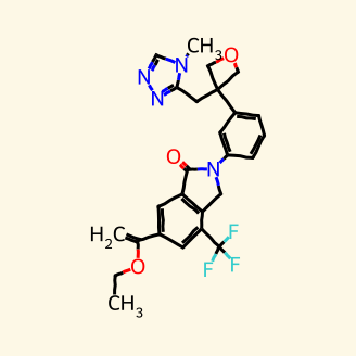 C=C(OCC)c1cc2c(c(C(F)(F)F)c1)CN(c1cccc(C3(Cc4nncn4C)COC3)c1)C2=O